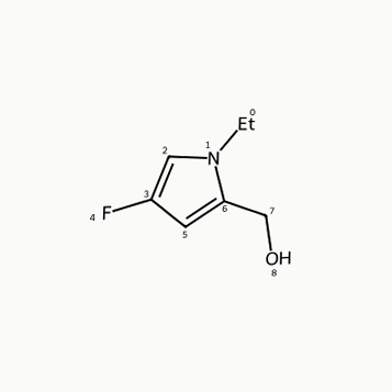 CCn1cc(F)cc1CO